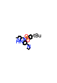 Cc1ccc2c(n1)Nc1ccc(CN3CCC3)cc1N(S(=O)(=O)c1ccc(C(C)(C)C)cc1)C2